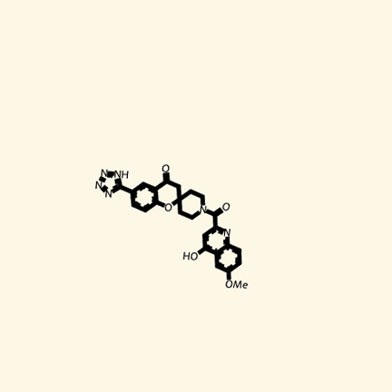 COc1ccc2nc(C(=O)N3CCC4(CC3)CC(=O)c3cc(-c5nnn[nH]5)ccc3O4)cc(O)c2c1